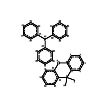 CC1(C)c2ccccc2Oc2ccccc21.c1ccc(P(c2ccccc2)c2ccccc2)cc1